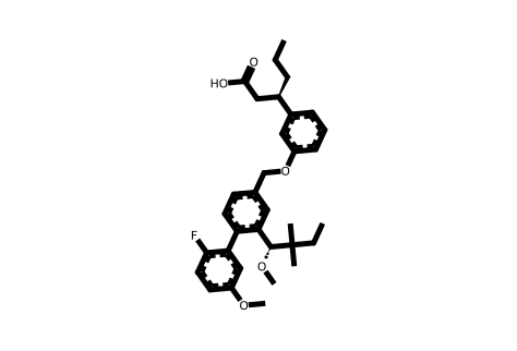 CCC[C@H](CC(=O)O)c1cccc(OCc2ccc(-c3cc(OC)ccc3F)c([C@@H](OC)C(C)(C)CC)c2)c1